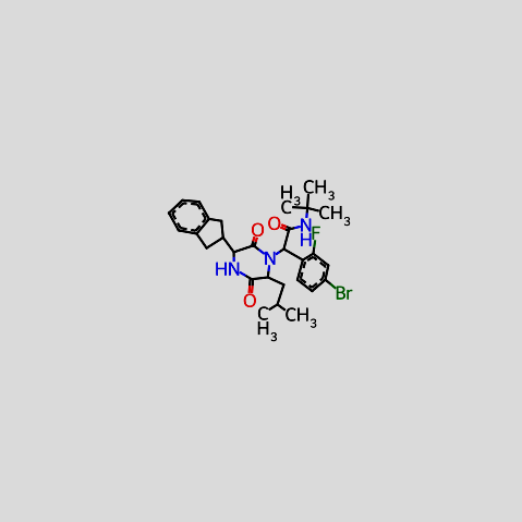 CC(C)CC1C(=O)NC(C2Cc3ccccc3C2)C(=O)N1C(C(=O)NC(C)(C)C)c1ccc(Br)cc1F